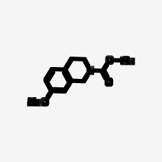 COc1ccc2c(c1)CN(C(=O)OC(C)(C)C)CC2